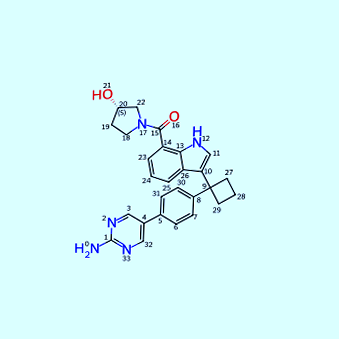 Nc1ncc(-c2ccc(C3(c4c[nH]c5c(C(=O)N6CC[C@H](O)C6)cccc45)CCC3)cc2)cn1